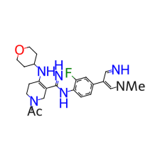 CN/C=C(\C=N)c1ccc(NC(=N)C2=C(NC3CCOCC3)CCN(C(C)=O)C2)c(F)c1